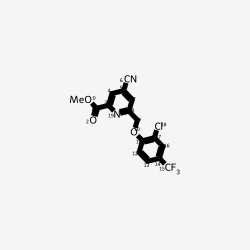 COC(=O)c1cc(C#N)cc(COc2ccc(C(F)(F)F)cc2Cl)n1